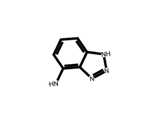 [NH]c1cccc2[nH]nnc12